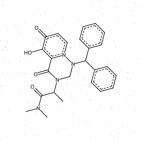 CC(C(=O)N(C)C)N1CN(C(c2ccccc2)c2ccccc2)n2ccc(=O)c(O)c2C1=O